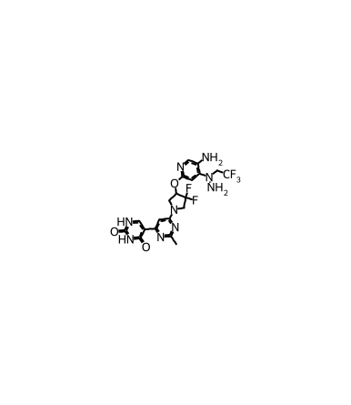 Cc1nc(-c2c[nH]c(=O)[nH]c2=O)cc(N2CC(Oc3cc(N(N)CC(F)(F)F)c(N)cn3)C(F)(F)C2)n1